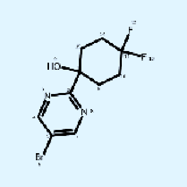 OC1(c2ncc(Br)cn2)CCC(F)(F)CC1